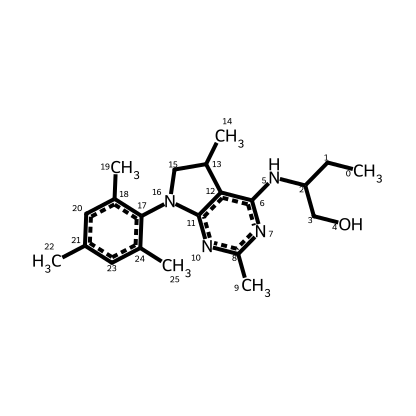 CCC(CO)Nc1nc(C)nc2c1C(C)CN2c1c(C)cc(C)cc1C